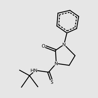 CC(C)(C)NC(=S)N1CCN(c2ccccc2)C1=O